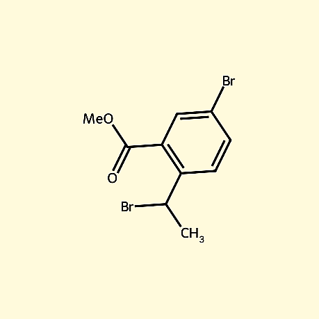 COC(=O)c1cc(Br)ccc1C(C)Br